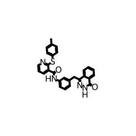 Cc1ccc(Sc2ncccc2C(=O)Nc2cccc(Cc3n[nH]c(=O)c4ccccc34)c2)cc1